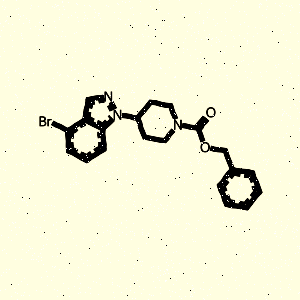 O=C(OCc1ccccc1)N1CCC(n2ncc3c(Br)cccc32)CC1